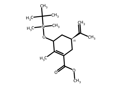 C=C(C)[C@H]1CC(C(=O)OC)=C(C)C(O[Si](C)(C)C(C)(C)C)C1